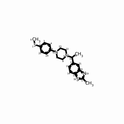 CSc1ccc(N2CCN(C(C)c3ccc4sc(C)nc4c3)CC2)cc1